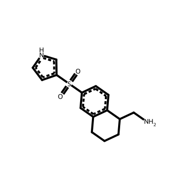 NCC1CCCc2cc(S(=O)(=O)c3cc[nH]c3)ccc21